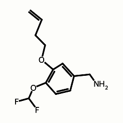 C=CCCOc1cc(CN)ccc1OC(F)F